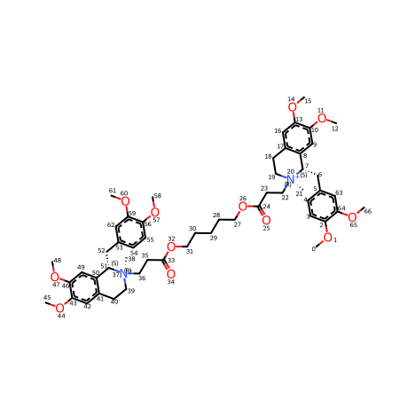 COc1ccc(C[C@H]2c3cc(OC)c(OC)cc3CC[N@+]2(C)CCC(=O)OCCCCCOC(=O)CC[N@@+]2(C)CCc3cc(OC)c(OC)cc3[C@@H]2Cc2ccc(OC)c(OC)c2)cc1OC